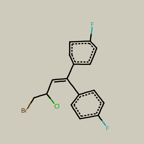 Fc1ccc(C(=CC(Cl)CBr)c2ccc(F)cc2)cc1